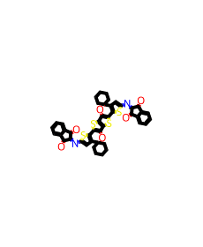 O=c1c(=Nc2cc3c(s2)-c2sc4c5c(sc4c2OC32CCCCC2)-c2sc(N=c3c(=O)c4ccccc4c3=O)cc2C2(CCCCC2)O5)c(=O)c2ccccc12